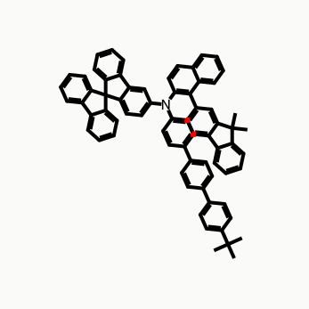 CC(C)(C)c1ccc(-c2ccc(-c3ccc(N(c4ccc5c(c4)-c4ccccc4C54c5ccccc5-c5ccccc54)c4ccc5ccccc5c4-c4ccc5c(c4)C(C)(C)c4ccccc4-5)cc3)cc2)cc1